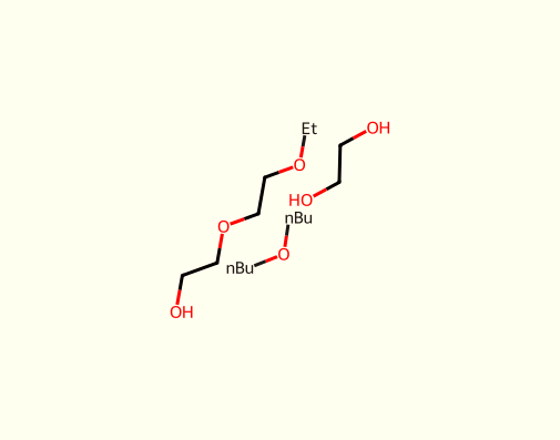 CCCCOCCCC.CCOCCOCCO.OCCO